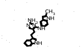 Cc1cc2cc(Nc3nc(N)ncc3CCc3c[nH]c4ccccc34)ccc2[nH]1